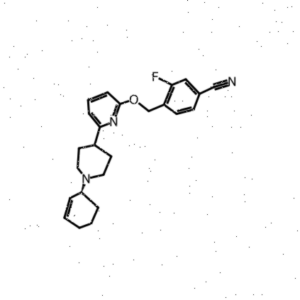 N#Cc1ccc(COc2cccc(C3CCN([C@@H]4C=CCCC4)CC3)n2)c(F)c1